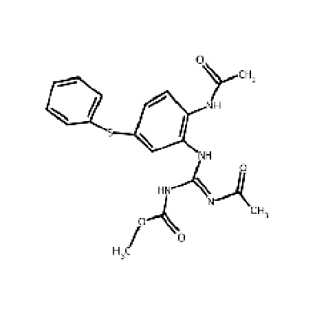 COC(=O)N/C(=N/C(C)=O)Nc1cc(Sc2ccccc2)ccc1NC(C)=O